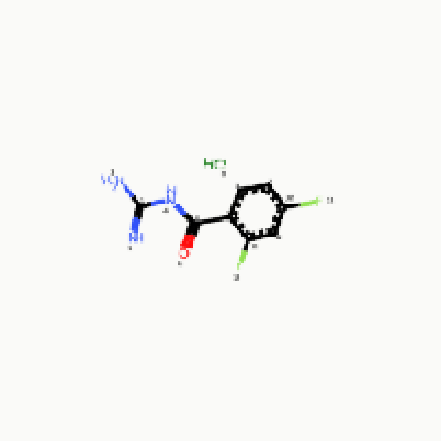 Cl.N=C(N)NC(=O)c1ccc(F)cc1F